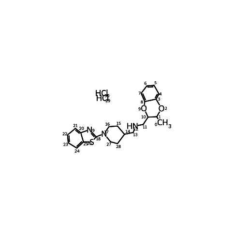 CC1Oc2ccccc2OC1CNCC1CCN(c2nc3ccccc3s2)CC1.Cl.Cl